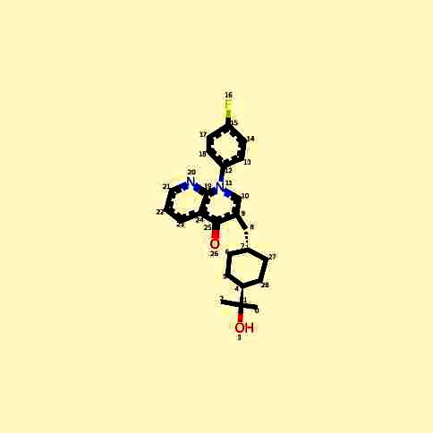 CC(C)(O)[C@H]1CC[C@H](Cc2cn(-c3ccc(F)cc3)c3ncccc3c2=O)CC1